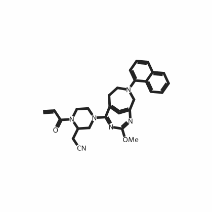 C=CC(=O)N1CCN(C2=NC(OC)=NC3=C=C2CCN(c2cccc4ccccc24)C3)CC1CC#N